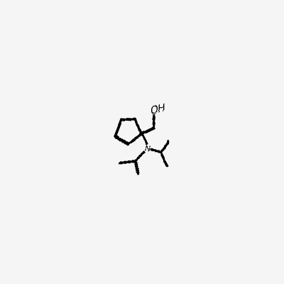 CC(C)N(C(C)C)C1(CO)CCCC1